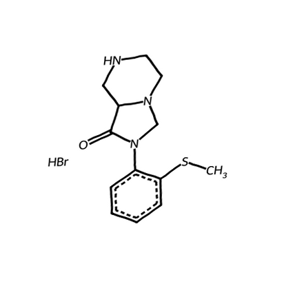 Br.CSc1ccccc1N1CN2CCNCC2C1=O